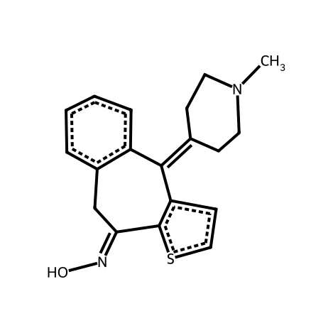 CN1CCC(=C2c3ccccc3C/C(=N\O)c3sccc32)CC1